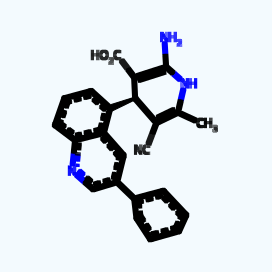 CC1=C(C#N)[C@@H](c2cccc3ncc(-c4ccccc4)cc23)C(C(=O)O)=C(N)N1